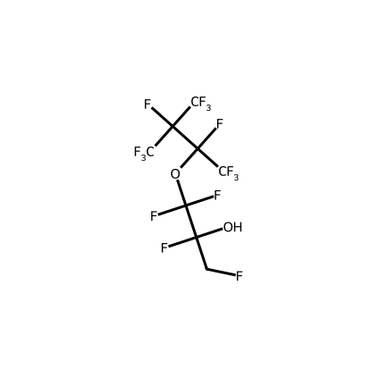 OC(F)(CF)C(F)(F)OC(F)(C(F)(F)F)C(F)(C(F)(F)F)C(F)(F)F